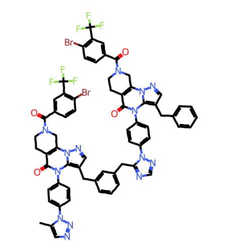 Cc1cnnn1-c1ccc(-n2c(=O)c3c(n4ncc(Cc5cccc(Cc6ncnn6-c6ccc(-n7c(=O)c8c(n9ncc(Cc%10ccccc%10)c79)CN(C(=O)c7ccc(Br)c(C(F)(F)F)c7)CC8)cc6)c5)c24)CN(C(=O)c2ccc(Br)c(C(F)(F)F)c2)CC3)cc1